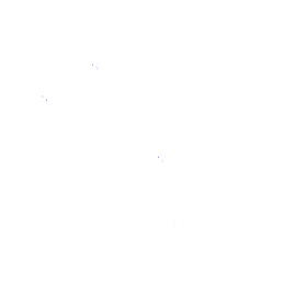 Cc1nc(N)sc1-c1csc(C(C)C)n1